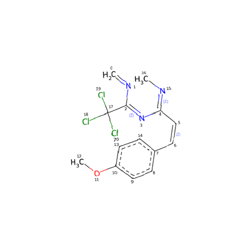 C=N\C(=N/C(/C=C\c1ccc(OC)cc1)=N\C)C(Cl)(Cl)Cl